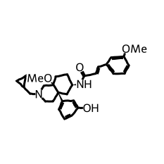 COc1cccc(C=CC(=O)N[C@H]2CC[C@]3(OC)CN(CC4CC4)CC[C@@]3(c3cccc(O)c3)C2)c1